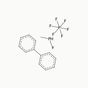 C[PH][Ir].F[P-](F)(F)(F)(F)F.c1ccc(-c2ccccc2)cc1